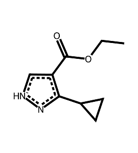 CCOC(=O)c1c[nH]nc1C1CC1